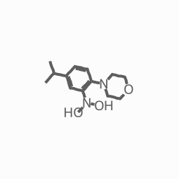 CC(C)c1ccc(N2CCOCC2)c(N(O)O)c1